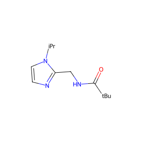 CC(C)n1ccnc1CNC(=O)C(C)(C)C